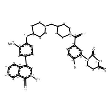 CCCCn1cc(-c2ccc(OC3CCN(CC4CCN(C(=O)c5ccc(Cl)c(N6CCC(=O)NC6=O)c5)CC4)CC3)c(OC)c2)c2ccncc2c1=O